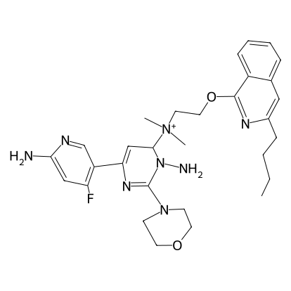 CCCCc1cc2ccccc2c(OCC[N+](C)(C)C2C=C(c3cnc(N)cc3F)N=C(N3CCOCC3)N2N)n1